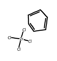 [Cl][Zr]([Cl])([Cl])[Cl].[c]1ccccc1